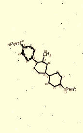 CCCCCc1ccc(C2CCC(C3CCC(CCCCC)CC3)CC2C)cc1